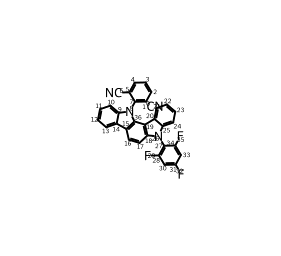 N#Cc1cccc(C#N)c1-n1c2ccccc2c2ccc3c(c4ccccc4n3-c3c(F)cc(F)cc3F)c21